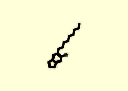 CCCCCCCCCc1cc2c(cc1Br)CC=C2